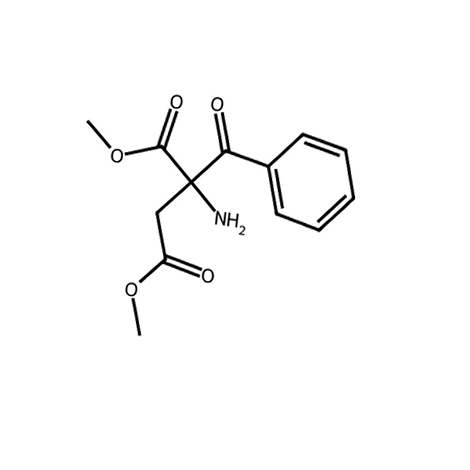 COC(=O)CC(N)(C(=O)OC)C(=O)c1ccccc1